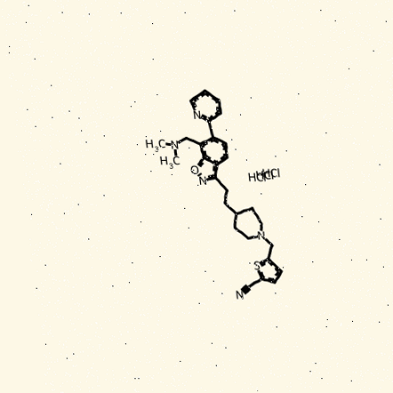 CN(C)Cc1c(-c2ccccn2)ccc2c(CCC3CCN(Cc4ccc(C#N)s4)CC3)noc12.Cl.Cl.Cl